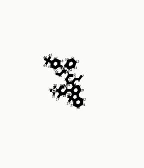 C=C(CC1C(CCC)c2ccc3c(c2-c2cc(C)c([Si](C)(C)C)c[n+]21)C(C)(C)c1ccccc1-3)[n+]1c(CC)n(-c2ccc(C(C)(C)C)cc2)c2ccccc21